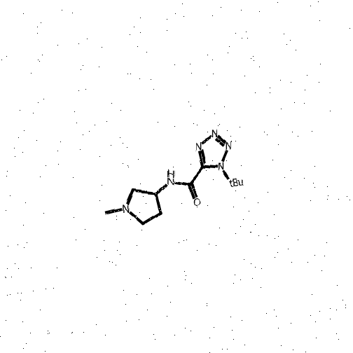 CN1CCC(NC(=O)c2nnnn2C(C)(C)C)C1